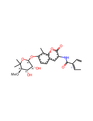 C=C/C(=C\C)C(=O)Nc1cc2ccc(O[C@@H]3OC(C)(C)[C@H](OC)[C@@H](O)[C@H]3O)c(C)c2oc1=O